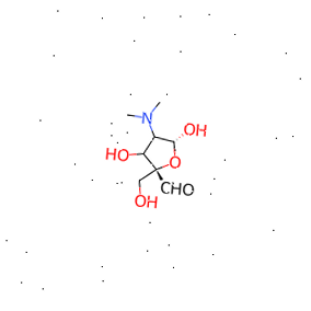 CN(C)C1C(O)[C@@](C=O)(CO)O[C@H]1O